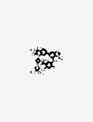 CNC(=O)c1cc(Nc2nc(-c3ccc4c(c3)N([C@H]3C[C@@H](N5CC(C)(C)C5)C3)C(=O)C4(C)C)cc3ncn(C(C)C)c23)c(F)cc1C